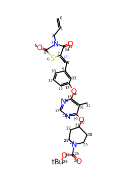 C=CCN1C(=O)S/C(=C\c2cccc(Oc3ncnc(OC4CCN(C(=O)OC(C)(C)C)CC4)c3C)c2)C1=O